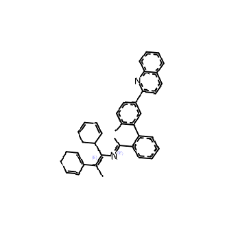 C/C(=N\C(=C(/C)C1=CCCC=C1)C1C=CC=CC1)c1ccccc1-c1cc(-c2ccc3ccccc3n2)ccc1C